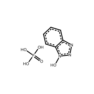 O=P(O)(O)O.On1nnc2ccccc21